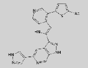 CC(=O)c1ccc(-c2cncc3[nH]c(-c4n[nH]c5cnc(-c6cn[nH]c6)cc45)cc23)s1